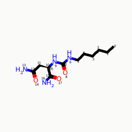 CCCCCCNC(=O)N[C@H](CC(N)=O)C(N)=O